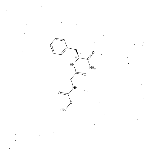 CCCCOC(=O)NCC(=O)N[C@@H](Cc1ccccc1)C(N)=O